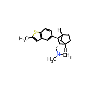 Cc1cc2cc([C@H]3[C@@H]4CC[C@@H](C4)[C@@H]3CN(C)C)ccc2s1